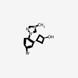 Cn1cn[n+](-c2ccc(Br)cc2[C@H]2C[C@H](O)C2)c1